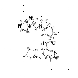 O=C(Nc1cc(CN2CCCC2)cc(C(F)(F)F)c1)c1ccc2c(c1)N(Cc1cnc3cnccn13)CC2